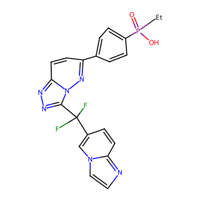 CCP(=O)(O)c1ccc(-c2ccc3nnc(C(F)(F)c4ccc5nccn5c4)n3n2)cc1